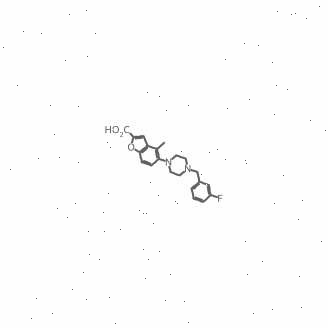 Cc1c(N2CCN(Cc3cccc(F)c3)CC2)ccc2oc(C(=O)O)cc12